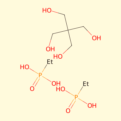 CCP(=O)(O)O.CCP(=O)(O)O.OCC(CO)(CO)CO